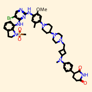 COc1cc(N2CCC(N3CCN(CC4CC(N(C)c5ccc(C6CCC(=O)NC6=O)cc5)C4)CC3)CC2)c(C)cc1Nc1ncc(Br)c(Nc2cccc3c2N(S(C)(=O)=O)CC3)n1